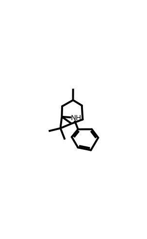 CC1CCC2C(C)(C)C2(Nc2ccccc2)C1